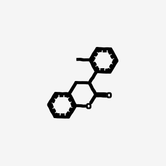 Cc1ccccc1C1Cc2ccccc2OC1=O